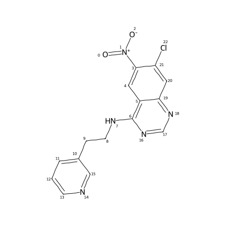 O=[N+]([O-])c1cc2c(NCCc3cccnc3)ncnc2cc1Cl